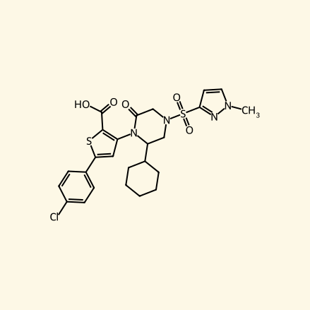 Cn1ccc(S(=O)(=O)N2CC(=O)N(c3cc(-c4ccc(Cl)cc4)sc3C(=O)O)C(C3CCCCC3)C2)n1